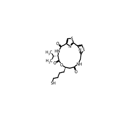 CC(C)[C@@H]1NC(=O)c2csc(n2)-c2csc(n2)CNC(=O)C[C@@H](CCCCS)OC1=O